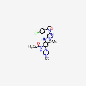 C=CC(=O)Nc1cc(Nc2cc(N3OCCC3c3ccc(Cl)cc3)ncn2)c(OC)cc1N1CCN(CC)CC1